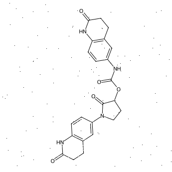 O=C1CCc2cc(NC(=O)OC3CCN(c4ccc5c(c4)CCC(=O)N5)C3=O)ccc2N1